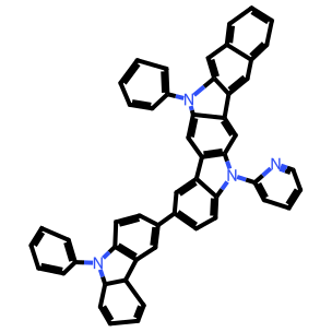 C1=CC2c3cc(-c4ccc5c(c4)c4cc6c(cc4n5-c4ccccn4)c4cc5ccccc5cc4n6-c4ccccc4)ccc3N(c3ccccc3)C2C=C1